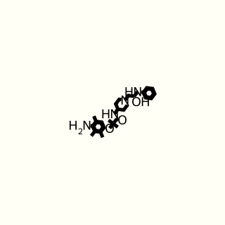 Cc1cc(OC(C)(C)C(=O)NC2CCN(CC(O)Nc3ccccc3)CC2)c(C)c(C)c1N